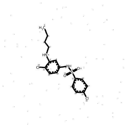 CCCCNc1cc(NS(=O)(=O)c2ccc(Cl)cc2)ccc1Cl